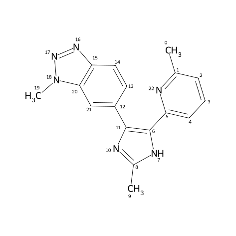 Cc1cccc(-c2[nH]c(C)nc2-c2ccc3nnn(C)c3c2)n1